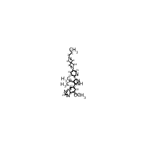 CCCN1CC2(C1)CN(c1ccc(-c3n[nH]c(-c4cc(OC)c5ncnn5c4)c3C(C)C)nc1)C2